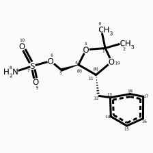 CC1(C)O[C@H](COS(N)(=O)=O)[C@@H](Cc2ccccc2)O1